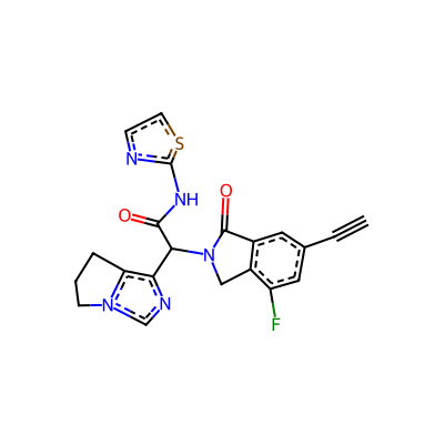 C#Cc1cc(F)c2c(c1)C(=O)N(C(C(=O)Nc1nccs1)c1ncn3c1CCC3)C2